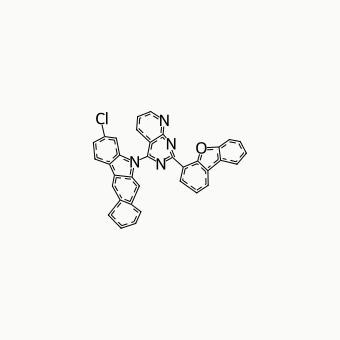 Clc1ccc2c3cc4ccccc4cc3n(-c3nc(-c4cccc5c4oc4ccccc45)nc4ncccc34)c2c1